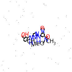 COCCN(C)C(=O)c1cc(Nc2nccc(NCc3cc(CO)ccc3C)n2)cc(N2CCOCC2)c1